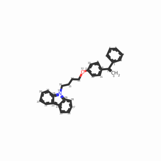 C=C(c1ccccc1)c1ccc(OCCCCn2c3ccccc3c3ccccc32)cc1